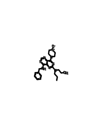 CCCN(CCO)c1nc(N2CC[S+]([O-])CC2)c2ncnc(NCc3ccccc3)c2n1